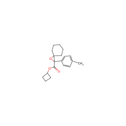 Cc1ccc(C2(C(=O)OC3CCC3)OC23CCCCC3)cc1